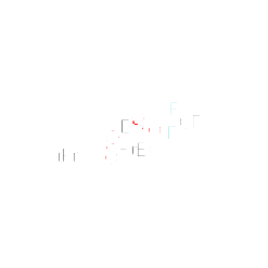 CCC(C(=O)OCC(F)(F)C(F)(F)F)C(CC)(CC)OC(=O)CCC(C)C